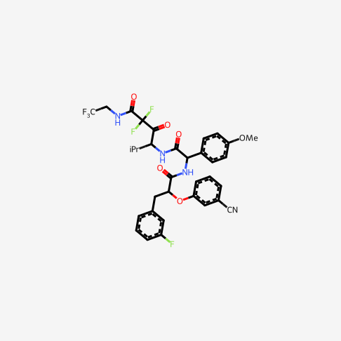 COc1ccc(C(NC(=O)C(Cc2cccc(F)c2)Oc2cccc(C#N)c2)C(=O)NC(C(=O)C(F)(F)C(=O)NCC(F)(F)F)C(C)C)cc1